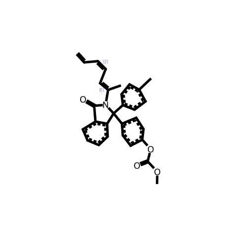 C=C/C=C\C=C(/C)N1C(=O)c2ccccc2C1(c1ccc(C)cc1)c1ccc(OC(=O)OC)cc1